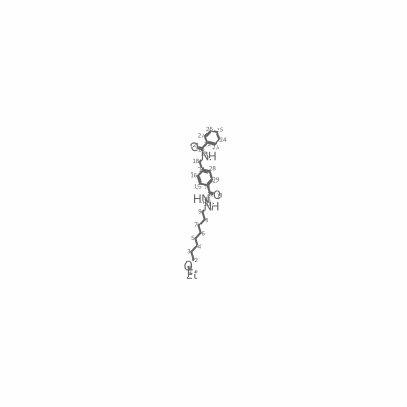 CCOCCCCCCCCNNC(=O)c1ccc(CNC(=O)c2ccccc2)cc1